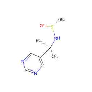 CC[C@@](N[S@+]([O-])C(C)(C)C)(c1cncnc1)C(F)(F)F